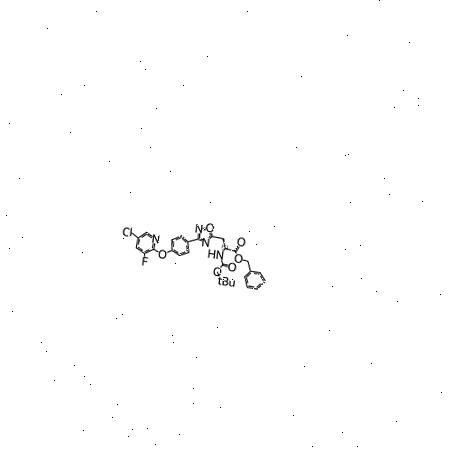 CC(C)(C)OC(=O)N[C@@H](Cc1nc(-c2ccc(Oc3ncc(Cl)cc3F)cc2)no1)C(=O)OCc1ccccc1